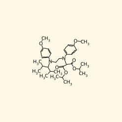 COc1ccc(N(CCN(c2ccc(OC)cc2)C(C(C)C)C(C)C)C(C(=O)OC(C)C)C(=O)OC(C)C)cc1